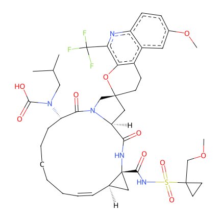 COCC1(S(=O)(=O)NC(=O)[C@@]23C[C@H]2/C=C\CCCCC[C@H](N(CC(C)C)C(=O)O)C(=O)N2C[C@@]4(CCc5c(c(C(F)(F)F)nc6ccc(OC)cc56)O4)C[C@H]2C(=O)N3)CC1